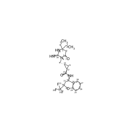 CCC1(CC)CC(=O)N(C[C@@H]2C[C@H]2C(=O)N[C@@H]2CC(C(F)(F)F)Oc3ccccc32)C(=N)N1